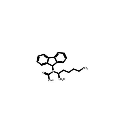 COC(=O)N(C(CCCCN)C(=O)O)C1c2ccccc2-c2ccccc21